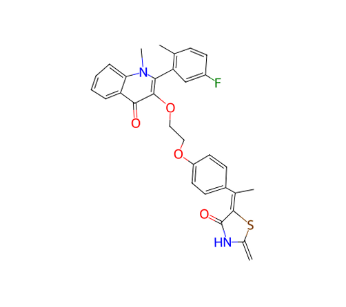 C=c1[nH]c(=O)/c(=C(/C)c2ccc(OCCOc3c(-c4cc(F)ccc4C)n(C)c4ccccc4c3=O)cc2)s1